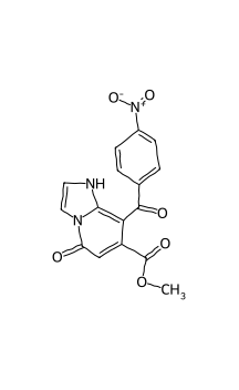 COC(=O)c1cc(=O)n2cc[nH]c2c1C(=O)c1ccc([N+](=O)[O-])cc1